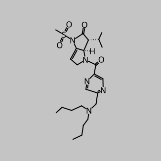 CCCCN(CCCC)Cc1cnc(C(=O)N2CC=C3[C@H]2[C@@H](C(C)C)C(=O)N3S(C)(=O)=O)cn1